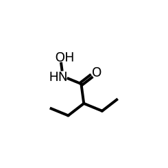 CCC(CC)C(=O)NO